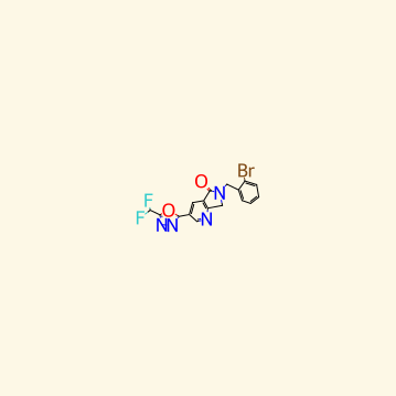 O=C1c2cc(-c3nnc(C(F)F)o3)cnc2CN1Cc1ccccc1Br